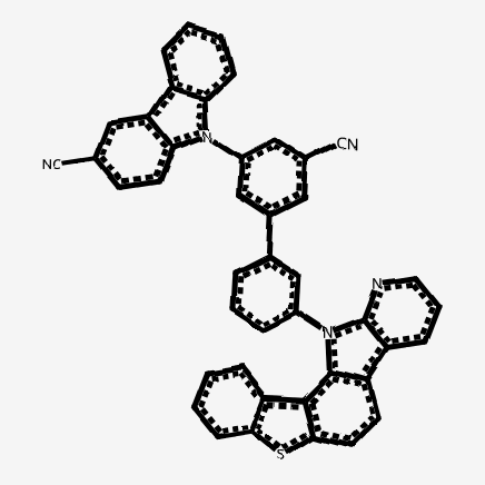 N#Cc1cc(-c2cccc(-n3c4ncccc4c4ccc5sc6ccccc6c5c43)c2)cc(-n2c3ccccc3c3cc(C#N)ccc32)c1